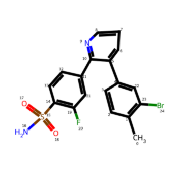 Cc1ccc(-c2cccnc2-c2ccc(S(N)(=O)=O)c(F)c2)cc1Br